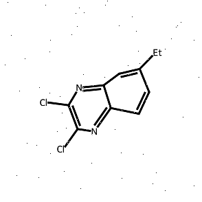 CCc1ccc2nc(Cl)c(Cl)nc2c1